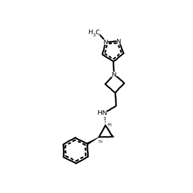 Cn1cc(N2CC(CN[C@@H]3C[C@H]3c3ccccc3)C2)cn1